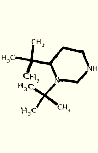 CC(C)(C)C1CCNCN1C(C)(C)C